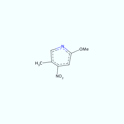 COc1cc([N+](=O)[O-])c(C)cn1